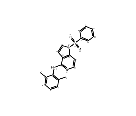 Cc1ccnc(C)c1Nc1nccc2c1ccn2S(=O)(=O)c1ccccc1